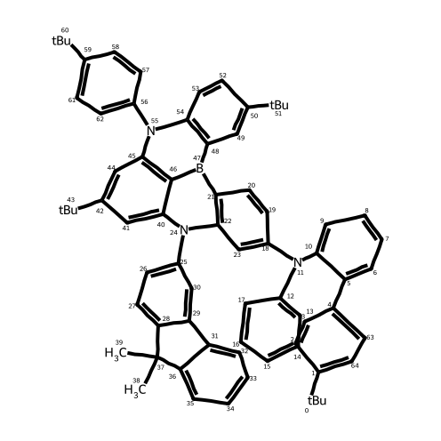 CC(C)(C)c1ccc(-c2ccccc2N(c2ccccc2)c2ccc3c(c2)N(c2ccc4c(c2)-c2ccccc2C4(C)C)c2cc(C(C)(C)C)cc4c2B3c2cc(C(C)(C)C)ccc2N4c2ccc(C(C)(C)C)cc2)cc1